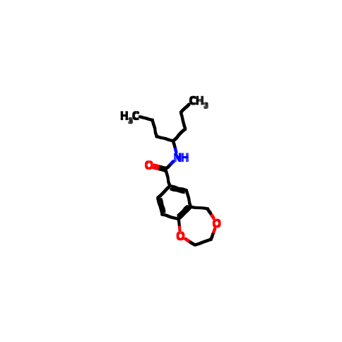 CCCC(CCC)NC(=O)c1ccc2c(c1)COCCO2